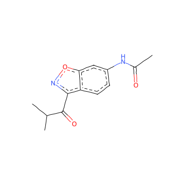 CC(=O)Nc1ccc2c(C(=O)C(C)C)noc2c1